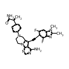 C=C(C(N)=O)c1ccc(N2CCn3c(c(C#Cc4c(F)cc5c(nc(C)n5C)c4F)c4c(N)ncnc43)C2)cc1